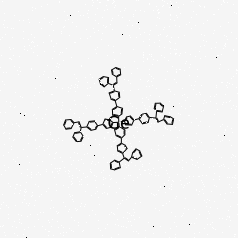 C(=C(c1ccccc1)c1ccc(-c2cc[c]([Ge]([c]3ccc(-c4ccc(C(=Cc5ccccc5)c5ccccc5)cc4)cc3)([c]3ccc(-c4ccc(C(=Cc5ccccc5)c5ccccc5)cc4)cc3)[c]3ccc(-c4ccc(C(=Cc5ccccc5)c5ccccc5)cc4)cc3)cc2)cc1)c1ccccc1